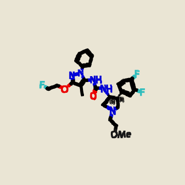 COCCN1C[C@@H](NC(=O)Nc2c(C)c(OCCF)nn2-c2ccccc2)[C@H](c2ccc(F)c(F)c2)C1